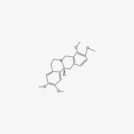 COc1cc2c(cc1OC)[C@H]1Cc3ccc(OC)c(OC)c3CN1CC2